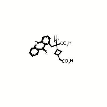 NC(Cc1cccc2oc3ccccc3c(=S)c12)(C(=O)O)[C@H]1C[C@@H](CC(=O)O)C1